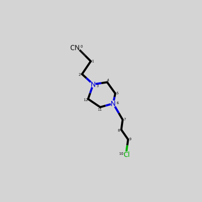 [C-]#[N+]CCN1CCN(CCCCl)CC1